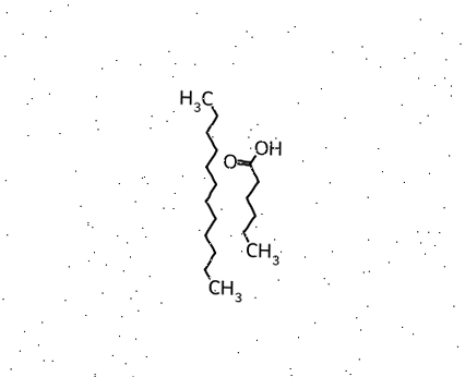 CCCCCC(=O)O.CCCCCCCCCCCC